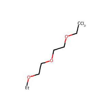 [CH2]COCCOCCOCC(Cl)(Cl)Cl